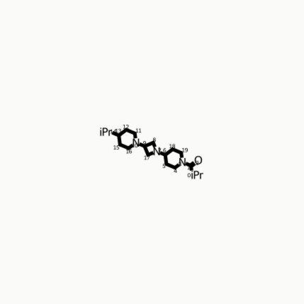 CC(C)C(=O)N1CCC(N2CC(N3CCC(C(C)C)CC3)C2)CC1